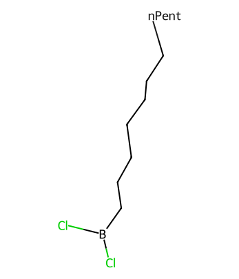 CCCCCCCCCCCCB(Cl)Cl